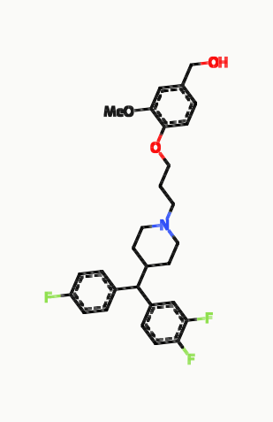 COc1cc(CO)ccc1OCCCN1CCC(C(c2ccc(F)cc2)c2ccc(F)c(F)c2)CC1